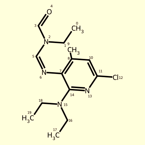 CCN(C=O)/C=N\c1c(C)cc(Cl)nc1N(CC)CC